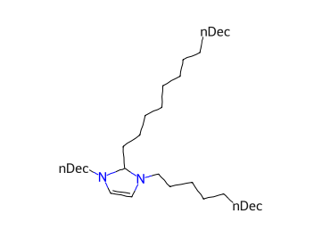 CCCCCCCCCCCCCCCCCCC1N(CCCCCCCCCC)C=CN1CCCCCCCCCCCCCCC